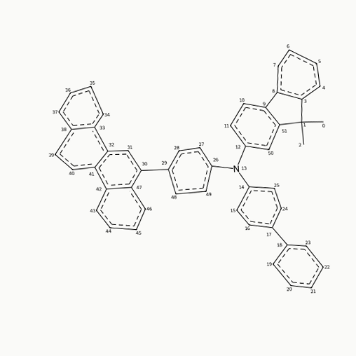 CC1(C)c2ccccc2-c2ccc(N(c3ccc(-c4ccccc4)cc3)c3ccc(-c4cc5c6ccccc6ccc5c5ccccc45)cc3)cc21